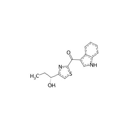 CC[C@@H](O)c1csc(C(=O)c2c[nH]c3ccccc23)n1